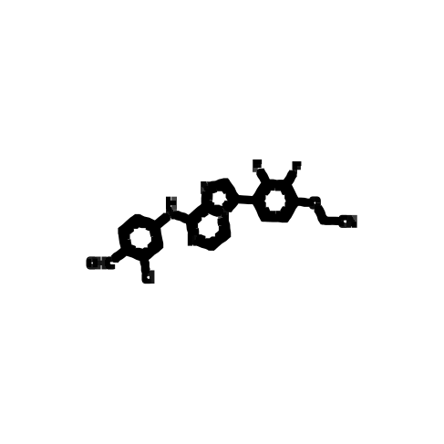 N#CCOc1ccc(-c2cnc3c(Nc4ccc(C=O)c(Cl)c4)nccn23)c(F)c1F